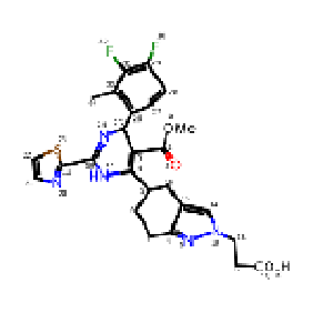 COC(=O)C1=C(C2CCc3nn(CCC(=O)O)cc3C2)NC(c2nccs2)=NC1c1ccc(F)c(F)c1C